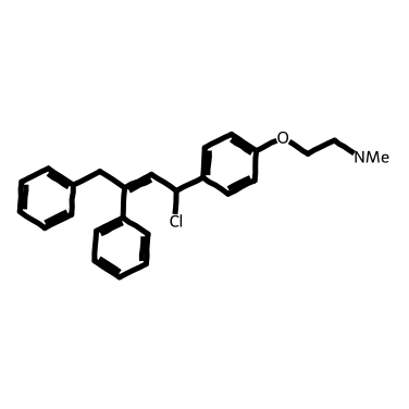 CNCCOc1ccc(C(Cl)C=C(Cc2ccccc2)c2ccccc2)cc1